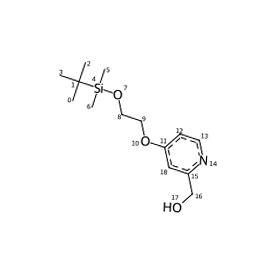 CC(C)(C)[Si](C)(C)OCCOc1ccnc(CO)c1